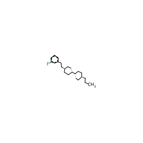 CCC[C@H]1CC[C@H]([C@H]2CC[C@H](CCc3cccc(F)c3)CC2)CC1